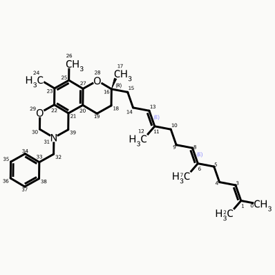 CC(C)=CCC/C(C)=C/CC/C(C)=C/CC[C@]1(C)CCc2c3c(c(C)c(C)c2O1)OCN(Cc1ccccc1)C3